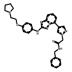 O=C(Cn1cc(-c2cccc3nc(Nc4ccc(OCCN5CCCC5)cc4)nn23)cn1)NCc1ccccc1